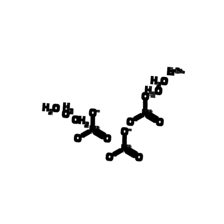 O.O.O.O.O.O=[N+]([O-])[O-].O=[N+]([O-])[O-].O=[N+]([O-])[O-].[Er+3]